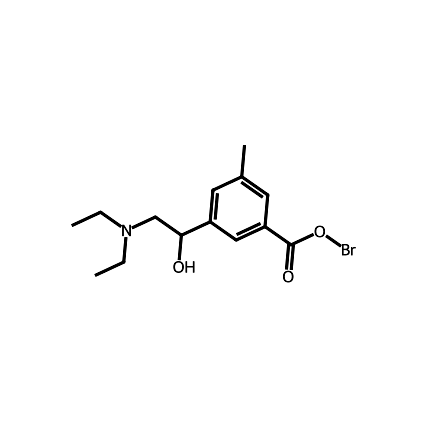 CCN(CC)CC(O)c1cc(C)cc(C(=O)OBr)c1